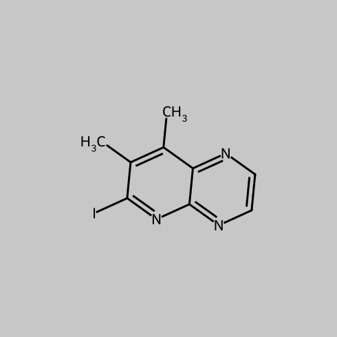 Cc1c(I)nc2nccnc2c1C